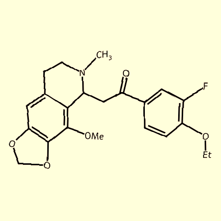 CCOc1ccc(C(=O)CC2c3c(cc4c(c3OC)OCO4)CCN2C)cc1F